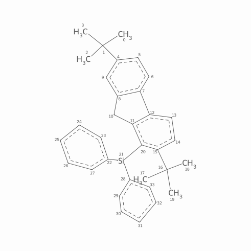 CC(C)(C)c1ccc2c(c1)Cc1c-2ccc(C(C)(C)C)c1[Si](c1ccccc1)c1ccccc1